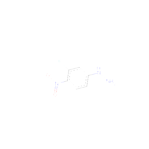 NNc1ccc([N+](=O)[O-])c(F)c1